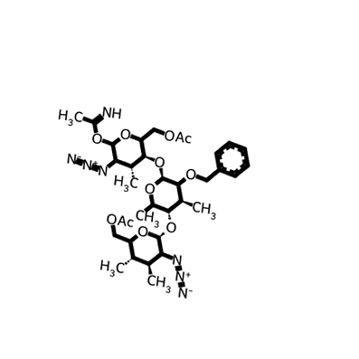 CC(=N)OC1OC(COC(C)=O)[C@@H](O[C@@H]2OC(C)[C@@H](O[C@H]3OC(COC(C)=O)[C@@H](C)[C@H](C)C3N=[N+]=[N-])[C@H](C)C2OCc2ccccc2)[C@H](C)C1N=[N+]=[N-]